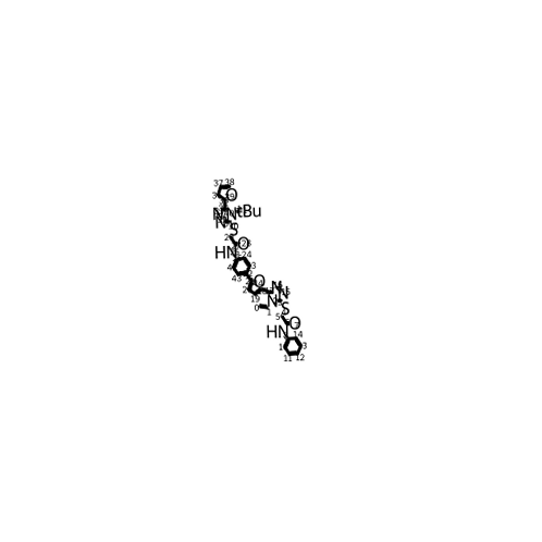 C=Cn1c(SCC(=O)Nc2ccccc2)nnc1-c1ccc(-c2ccc(NC(=O)CSc3nnc(C4CC=CO4)n3C(C)(C)C)cc2)o1